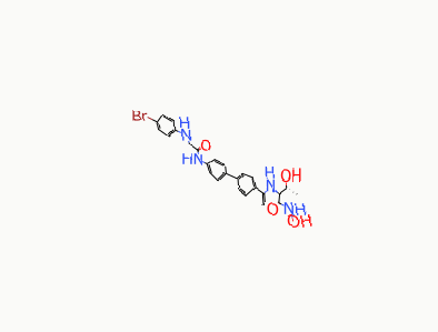 C=C(N[C@H](C(=O)NO)[C@@H](C)O)c1ccc(-c2ccc(NC(=O)CNc3ccc(Br)cc3)cc2)cc1